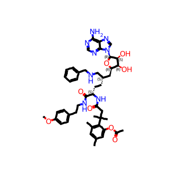 COc1ccc(CCNC(=O)[C@H](CC[C@H](CNCc2ccccc2)C[C@H]2O[C@@H](n3cnc4c(N)ncnc43)[C@@H](O)[C@H]2O)NC(=O)CC(C)(C)c2c(C)cc(C)cc2OC(C)=O)cc1